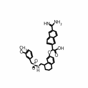 COc1cccc(CS(=O)(=O)NCC2CCCc3ccc(OC(C(=O)O)c4ccc5cc(C(=N)N)ccc5c4)cc32)c1